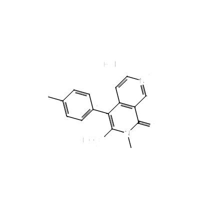 Cc1ccc(-c2c(C(=O)O)n(C)c(=O)c3cnccc23)cc1.Cl